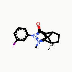 Cn1c2c(c(=O)n1-c1cccc(I)c1)C1CC[C@]2(C)C1(C)C